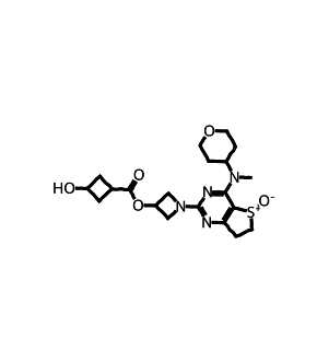 CN(c1nc(N2CC(OC(=O)C3CC(O)C3)C2)nc2c1[S+]([O-])CC2)C1CCOCC1